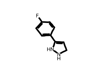 Fc1ccc(C2=CCNN2)cc1